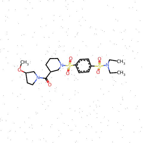 CCN(CC)S(=O)(=O)c1ccc(S(=O)(=O)N2CCCC(C(=O)N3CCC(OC)C3)C2)cc1